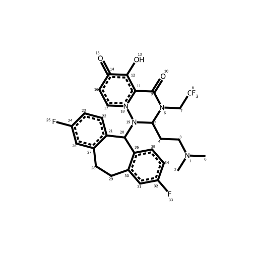 CN(C)CCC1N(CC(F)(F)F)C(=O)c2c(O)c(=O)ccn2N1C1c2ccc(F)cc2CCc2cc(F)ccc21